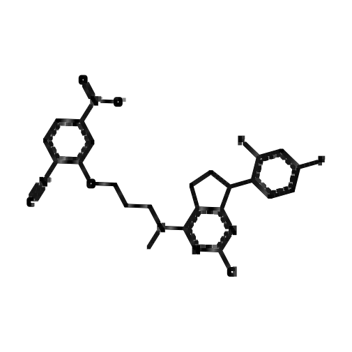 [C-]#[N+]c1ccc([N+](=O)[O-])cc1OCCCN(C)c1nc(Cl)nc2c1CCC2c1ccc(F)cc1F